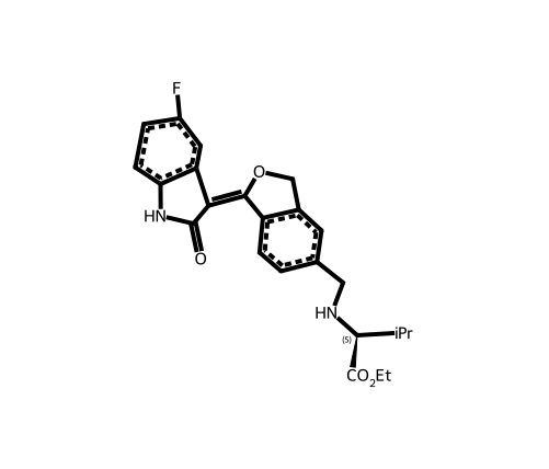 CCOC(=O)[C@@H](NCc1ccc2c(c1)COC2=C1C(=O)Nc2ccc(F)cc21)C(C)C